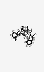 C=CC(=O)N(CC(=O)NC(Cc1cccc(F)c1)B(O)O)c1ccccc1F